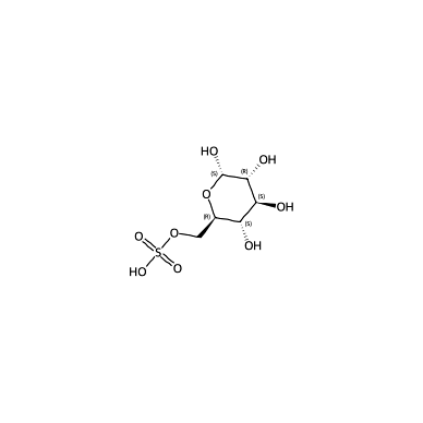 O=S(=O)(O)OC[C@H]1O[C@H](O)[C@H](O)[C@@H](O)[C@@H]1O